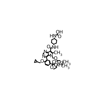 Cc1c(C(=O)N[C@H]2CC[C@H](NC(=O)O)CC2)c2ncnc(-c3cc(C4(C)OCCO4)ccc3OCC3CC3)c2n1COCC[Si](C)(C)C